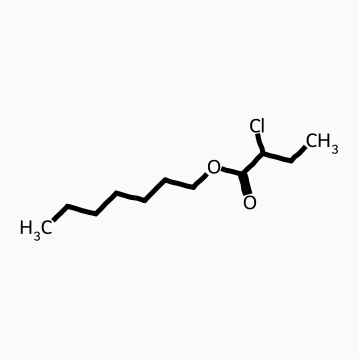 CCCCCCCOC(=O)C(Cl)CC